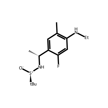 CCNc1cc(F)c([C@@H](C)N[S@+]([O-])C(C)(C)C)cc1C